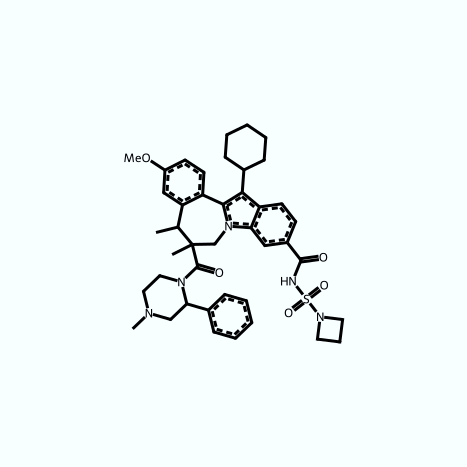 COc1ccc2c(c1)C(C)C(C)(C(=O)N1CCN(C)CC1c1ccccc1)Cn1c-2c(C2CCCCC2)c2ccc(C(=O)NS(=O)(=O)N3CCC3)cc21